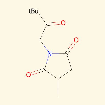 CC1CC(=O)N(CC(=O)C(C)(C)C)C1=O